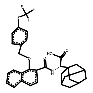 O=C(N[C@H](C(=O)O)C12CC3CC(CC(C3)C1)C2)c1ccc2ccccc2c1OCc1ccc(SC(F)(F)F)cc1